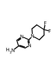 Nc1cnc(N2CCC(F)(F)CC2)nc1